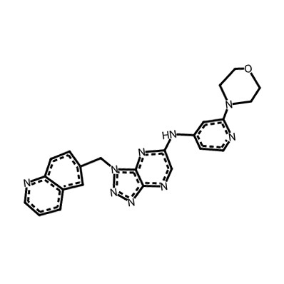 c1cnc2ccc(Cn3nnc4ncc(Nc5ccnc(N6CCOCC6)c5)nc43)cc2c1